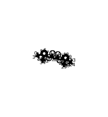 CC(C)(C)c1cccc(OC(=O)CC(=O)Oc2cccc(C(C)(C)C)c2C(C)(C)C)c1C(C)(C)C